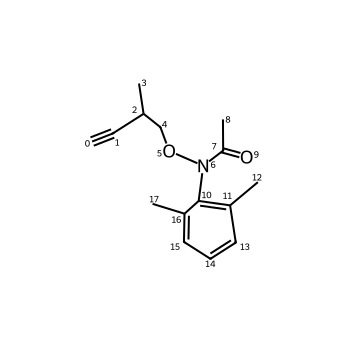 C#CC(C)CON(C(C)=O)c1c(C)cccc1C